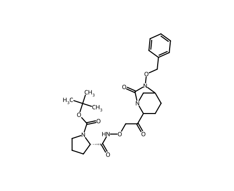 CC(C)(C)OC(=O)N1CCC[C@H]1C(=O)NOCC(=O)C1CCC2CN1C(=O)N2OCc1ccccc1